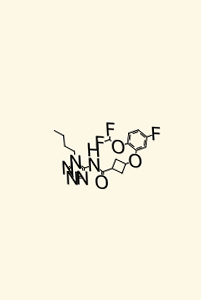 CCCCn1nnnc1NC(=O)C1CC(Oc2cc(F)ccc2OC(F)F)C1